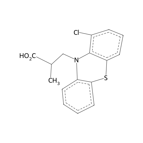 CC(CN1c2ccccc2Sc2cccc(Cl)c21)C(=O)O